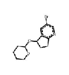 Brc1cnc2c(c1)C(OC1CCCCO1)CC2